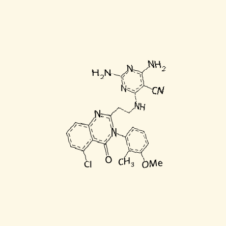 COc1cccc(-n2c(CCNc3nc(N)nc(N)c3C#N)nc3cccc(Cl)c3c2=O)c1C